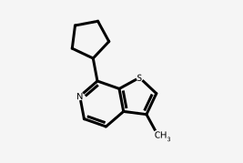 Cc1csc2c(C3CCCC3)nccc12